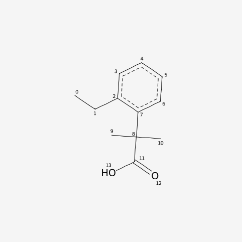 CCc1ccccc1C(C)(C)C(=O)O